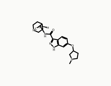 CN1CCC(Oc2ccc3c(C(=O)N[C@@H]4CN5CCC4CC5)n[nH]c3c2)C1